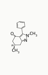 C[C@H]1CC(=O)c2c(nn(C)c2-c2ccccc2)C1